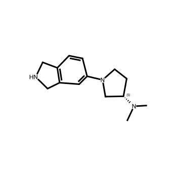 CN(C)[C@H]1CCN(c2ccc3c(c2)CNC3)C1